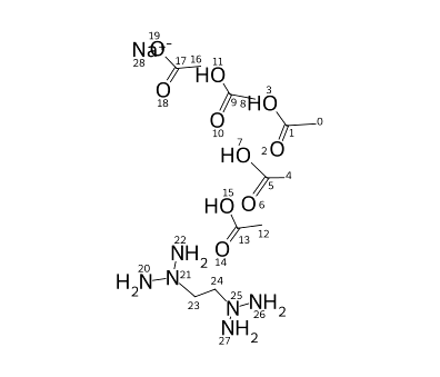 CC(=O)O.CC(=O)O.CC(=O)O.CC(=O)O.CC(=O)[O-].NN(N)CCN(N)N.[Na+]